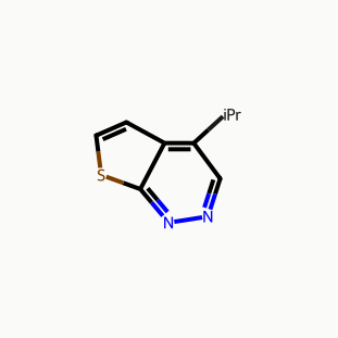 CC(C)c1cnnc2sccc12